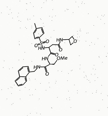 COC[C@H](NC(=O)C(CC(=O)NC1COC1)NS(=O)(=O)c1ccc(C)cc1)C(=O)NCc1cccc2ccccc12